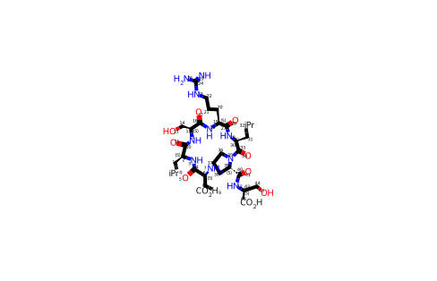 CC(C)C[C@H](NC(=O)[C@@H](N)CC(=O)O)C(=O)N[C@@H](CO)C(=O)N[C@@H](CCCNC(=N)N)C(=O)N[C@@H](CC(C)C)C(=O)N1CCC[C@H]1C(=O)N[C@@H](CO)C(=O)O